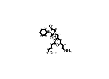 CCCCCCCCCCCCCC(=O)NC(CCCCN)CN1CC(=O)N(C2CCCCC2)C1=O